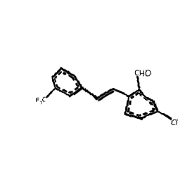 O=Cc1cc(Cl)ccc1C=Cc1cccc(C(F)(F)F)c1